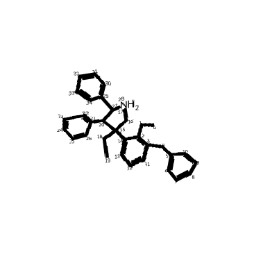 CCc1c(Cc2ccccc2)cccc1C(CC)(CC)C(c1ccccc1)C(N)c1ccccc1